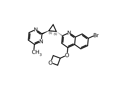 Cc1ccnc([C@H]2C[C@@H]2c2cc(OC3COC3)c3ccc(Br)cc3n2)n1